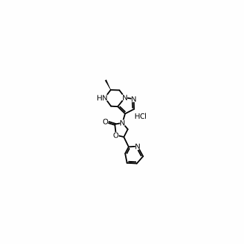 C[C@H]1Cn2ncc(N3CC(c4ccccn4)OC3=O)c2CN1.Cl